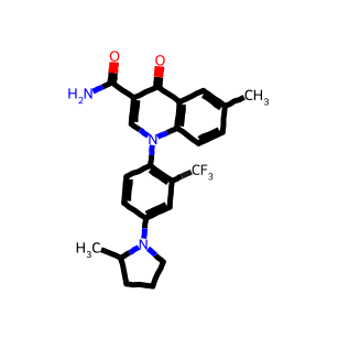 Cc1ccc2c(c1)c(=O)c(C(N)=O)cn2-c1ccc(N2CCCC2C)cc1C(F)(F)F